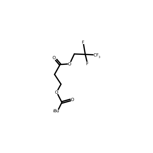 CCC(C)C(=O)OCCC(=O)OCC(F)(F)C(F)(F)F